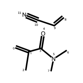 C=C(C)C(=O)N(C)C.C=CC#N